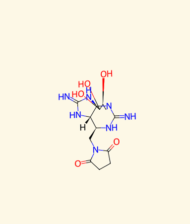 N=C1N[C@H]2[C@H](CN3C(=O)CCC3=O)NC(=N)N3C[C@H](O)C(O)(O)[C@]23N1